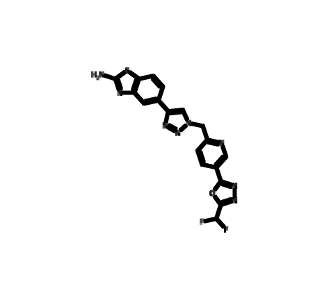 Nc1nc2cc(-c3cn(Cc4ccc(-c5nnc(C(F)F)o5)cn4)nn3)ccc2s1